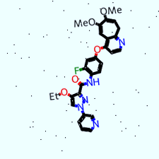 CCOc1cn(-c2cccnc2)nc1C(=O)Nc1ccc(Oc2ccnc3c2C=C(OC)C(OC)=CC3)cc1F